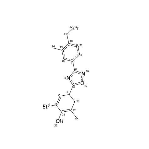 CCC1=CC(c2nc(-c3cnc(CC(C)C)c(C)c3)no2)CC(C)=C1O